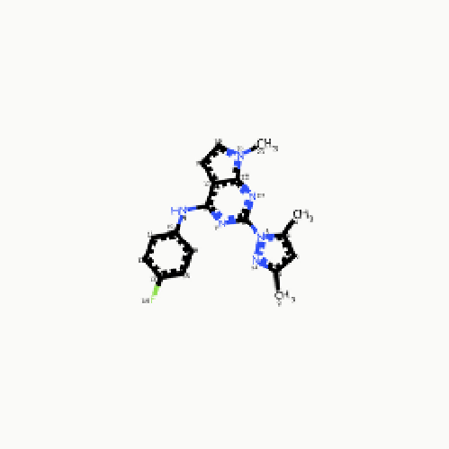 Cc1cc(C)n(-c2nc(Nc3ccc(F)cc3)c3ccn(C)c3n2)n1